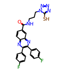 O=C(NCCCn1nnnc1S)c1ccc2nc(-c3ccc(F)cc3)c(-c3ccc(F)cc3)nc2c1